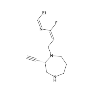 C#C[C@H]1CNCCCN1C/C=C(F)\N=C/CC